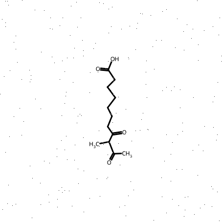 CC(=O)C(C)C(=O)CCCCCCC(=O)O